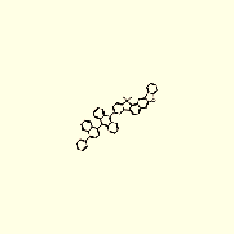 CC1(C)C2=CC=C(c3c4ccccc4c(C4=CC=C(c5ccccc5)C5C=CC=CC45)c4ccccc34)CC2c2ccc3cc4oc5ccccc5c4cc3c21